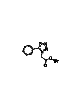 CC(C)OC(=O)Cn1nnnc1-c1ccccc1